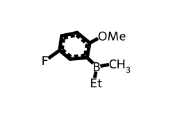 CCB(C)c1cc(F)ccc1OC